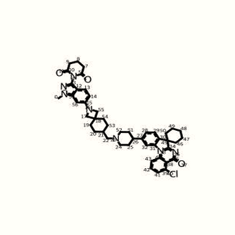 Cn1nc(N2C(=O)CCCC2=O)c2ccc(N3CC4(CCC(CN5CCC(c6ccc7c(c6)-n6c(nc(=O)c8c(Cl)cccc86)C76CCCCC6)CC5)CC4)C3)cc21